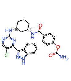 NC(=O)Oc1ccc(C(=O)N[C@H]2CCC[C@@H](Nc3ncc(Cl)c(-c4n[nH]c5ccccc45)n3)C2)cc1